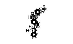 O=C(O)C(Cc1ccccc1)n1ccc2cc(NS(=O)(=O)c3ccc(OC(F)(F)F)cc3)ccc21